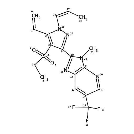 C=Cc1c(S(=O)(=O)CC)c(-c2nc3cc(C(F)(F)F)cnc3n2C)nn1/C=C\C